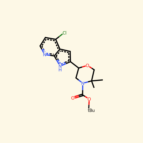 CC(C)(C)OC(=O)N1CC(c2cc3c(Cl)ccnc3[nH]2)OCC1(C)C